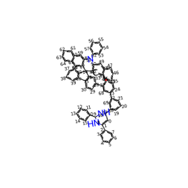 C1=C(c2ccccc2)NC(c2ccccc2)NC1c1cccc(-c2cccc(-c3ccc4c(c3)C3(c5ccccc5-4)c4cc5ccccc5cc4N(c4ccccc4)c4cc5ccccc5cc43)c2)c1